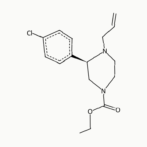 C=CCN1CCN(C(=O)OCC)C[C@H]1c1ccc(Cl)cc1